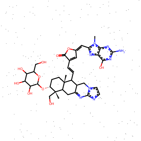 Cn1c(/C=C2C=C(/C=C/C3C4Cn5ccnc5N=C4CC4[C@]3(C)CC[C@@H](OC3OC(CO)C(O)C(O)C3O)[C@@]4(C)CO)C(=O)O\2)nc2c(O)nc(N)nc21